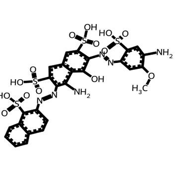 COc1cc(N=Nc2c(S(=O)(=O)O)cc3cc(S(=O)(=O)O)c(N=Nc4ccc5ccccc5c4S(=O)(=O)O)c(N)c3c2O)c(S(=O)(=O)O)cc1N